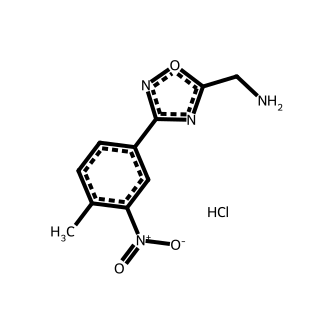 Cc1ccc(-c2noc(CN)n2)cc1[N+](=O)[O-].Cl